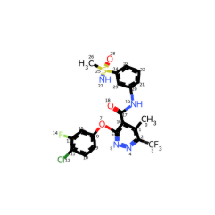 Cc1c(C(F)(F)F)nnc(Oc2ccc(Cl)c(F)c2)c1C(=O)Nc1cccc(S(C)(=N)=O)c1